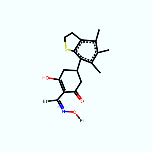 CCO/N=C(/CC)C1=C(O)CC(c2c(C)c(C)c(C)c3c2SCC3)CC1=O